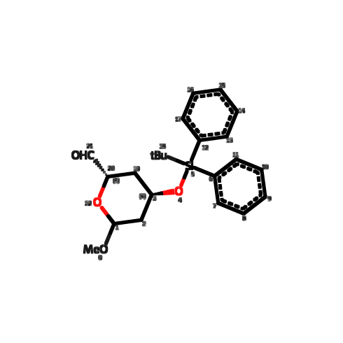 COC1C[C@H](O[Si](c2ccccc2)(c2ccccc2)C(C)(C)C)C[C@@H](C=O)O1